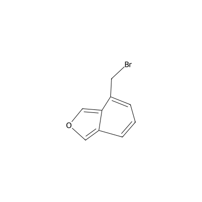 BrCc1cccc2cocc12